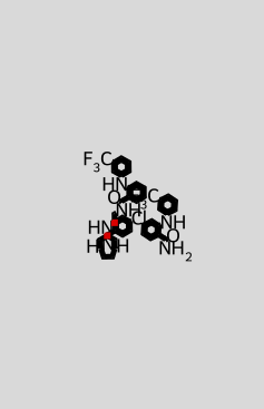 NC(=O)c1ccccc1Nc1cccc(C(F)(F)F)c1.O=C(CNC(=O)c1ccccc1Nc1cccc(C(F)(F)F)c1)N[C@@H]1C[C@H]2CC[C@@H](C1)N2Cc1ccc(Cl)cc1